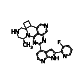 C[C@H]1CNCCN1c1nc(-c2ccnc3[nH]c(-c4ncccc4F)cc23)nc2cncc(C3CCC3)c12